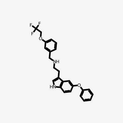 FC(F)(F)COc1cccc(CNCCc2c[nH]c3ccc(Oc4ccccc4)cc23)c1